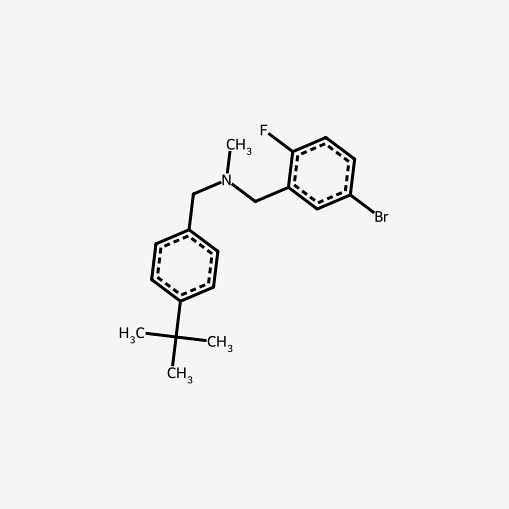 CN(Cc1ccc(C(C)(C)C)cc1)Cc1cc(Br)ccc1F